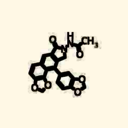 CC(=O)NN1Cc2c(cc3ccc4c(c3c2-c2ccc3c(c2)OCO3)OCO4)C1=O